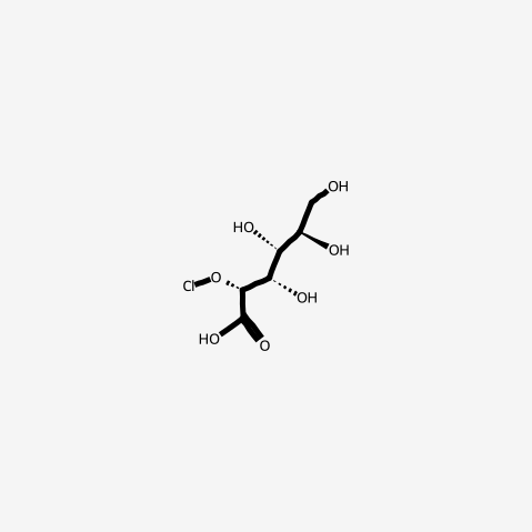 O=C(O)[C@H](OCl)[C@@H](O)[C@H](O)[C@H](O)CO